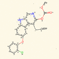 COCc1c(OC(=O)OC(C)C)ncc2[nH]c3ccc(Oc4ccccc4Cl)cc3c12